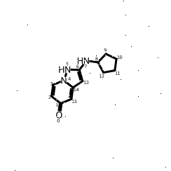 O=c1ccn2[nH]c(NC3CCCC3)cc2c1